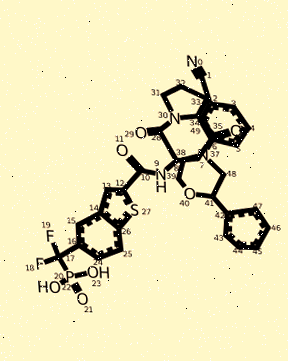 N#Cc1cccc(CC(NC(=O)c2cc3cc(C(F)(F)P(=O)(O)O)ccc3s2)C(=O)N2CCCC2C(=O)N2CCOC(c3ccccc3)C2)c1